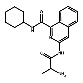 CC(N)C(=O)Nc1cc2ccccc2c(C(=O)NC2CCCCC2)n1